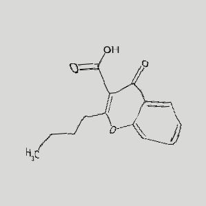 CCCCc1oc2ccccc2c(=O)c1C(=O)O